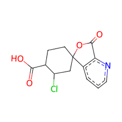 O=C1OC2(CCC(C(=O)O)C(Cl)C2)c2cccnc21